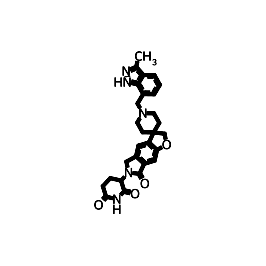 Cc1n[nH]c2c(CN3CCC4(CC3)COc3cc5c(cc34)CN(C3CCC(=O)NC3=O)C5=O)cccc12